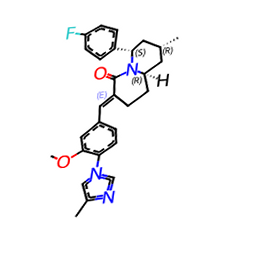 COc1cc(/C=C2\CC[C@@H]3C[C@@H](C)C[C@@H](c4ccc(F)cc4)N3C2=O)ccc1-n1cnc(C)c1